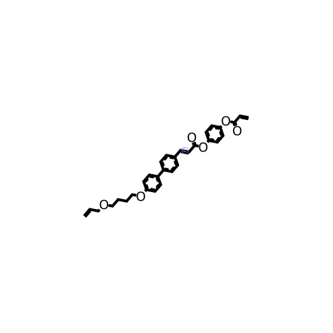 C=CCOCCCCOc1ccc(-c2ccc(/C=C/C(=O)Oc3ccc(OC(=O)C=C)cc3)cc2)cc1